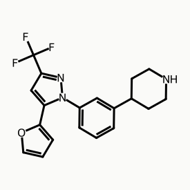 FC(F)(F)c1cc(-c2ccco2)n(-c2cccc(C3CCNCC3)c2)n1